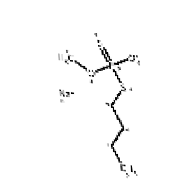 CCCCSP([O-])(=S)OC.[Na+]